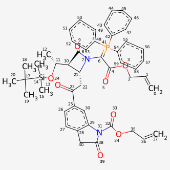 C=CCOC(=O)C(N1C(=O)[C@H]([C@@H](C)O[Si](C)(C)C(C)(C)C)[C@H]1CC(=O)c1ccc2c(c1)N(C(=O)OCC=C)C(=O)C2)=P(c1ccccc1)(c1ccccc1)c1ccccc1